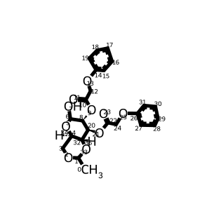 CC1OC[C@H]2OC(O)[C@H](OC(=O)COc3ccccc3)[C@@H](OC(=O)COc3ccccc3)[C@@H]2O1